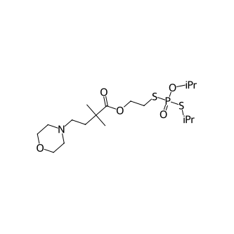 CC(C)OP(=O)(SCCOC(=O)C(C)(C)CCN1CCOCC1)SC(C)C